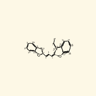 CCN1C(=CC=Cc2nc3ccccc3o2)Oc2ccccc21